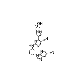 CC(C)(O)Cn1cc(-c2nc(N[C@@H]3CCC[C@H](n4cnc5cc(C#N)cnc54)C3)ncc2C#N)cn1